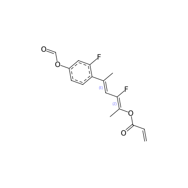 C=CC(=O)O/C(C)=C(F)/C=C(\C)c1ccc(OC=O)cc1F